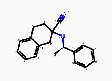 C[C@@H](NC1(C#N)CCc2ccccc2C1)c1ccccc1